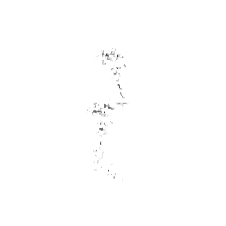 CN(C)CC(=O)OCC1(c2ccc(C#Cc3cc4n(c3)C(=O)N(CC[C@](C)(C(=O)NOC[C@@H]3CC3(C)C#CC#Cc3cc5n(c3)C(=O)N(CC[C@](C)(C(=O)NO)S(C)(=O)=O)C5)S(C)(=O)=O)C4)cc2)CC1